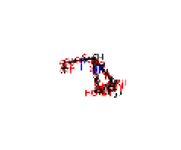 C[C@H](O)C(CO)OC(OCCOCCOCCNC(=O)CCOCC(C)(COCCC(=O)NCCOCCOCCOC(OC(CO)[C@H](C)O)[C@H](O)CO)COCCC(=O)NCCOCCOCCO[C@H]1O/C1=C(/O)CO)[C@H](O)CO